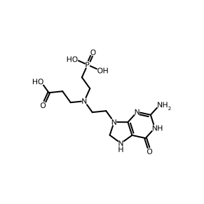 Nc1nc2c(c(=O)[nH]1)NCN2CCN(CCC(=O)O)CCP(=O)(O)O